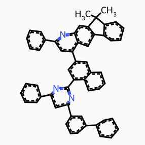 CC1(C)c2ccccc2-c2cc3c(-c4cc(-c5nc(-c6ccccc6)cc(-c6cccc(-c7ccccc7)c6)n5)c5ccccc5c4)cc(-c4ccccc4)nc3cc21